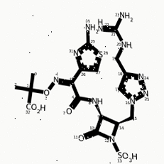 CC(C)(O/N=C(\C(=O)N[C@@H]1C(=O)N(S(=O)(=O)O)[C@@H]1Cn1cc(CNC(=N)N)nn1)c1csc(N)n1)C(=O)O